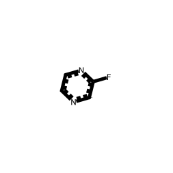 Fc1[c]nccn1